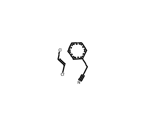 ClC=CCl.N#CCc1ccccc1